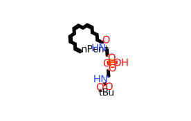 CCCCC/C=C\C/C=C\C/C=C\C/C=C\CCCC(=O)NCCOP(=O)(O)OCCNC(=O)OC(C)(C)C